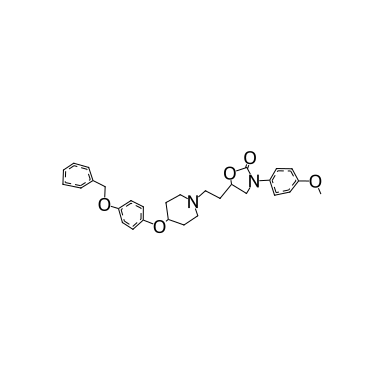 COc1ccc(N2CC(CCN3CCC(Oc4ccc(OCc5ccccc5)cc4)CC3)OC2=O)cc1